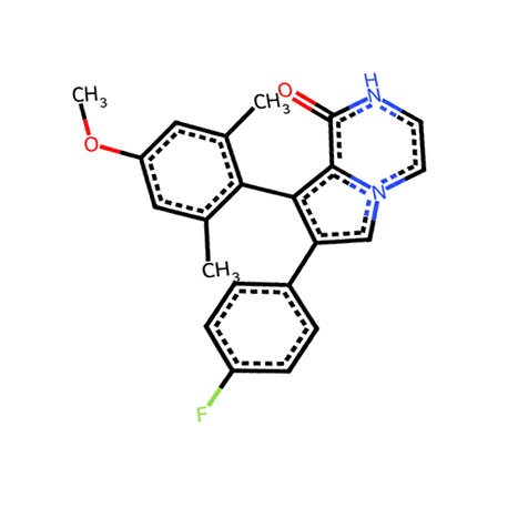 COc1cc(C)c(-c2c(-c3ccc(F)cc3)cn3cc[nH]c(=O)c23)c(C)c1